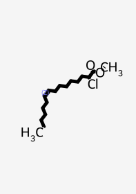 CCCCCC/C=C\CCCCCCC(Cl)C(=O)OC